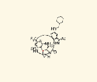 CC(=O)c1nn2c3c(cc(NCC4CCCCC4)cc13)CCCCCCC(=O)NC[C@@]13C[C@@H](C(=O)Nc4nc(C(F)(F)F)ccc4C)N(C(=O)C2)[C@@H]1C3